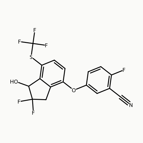 N#Cc1cc(Oc2ccc(SC(F)(F)F)c3c2CC(F)(F)C3O)ccc1F